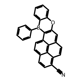 N#Cc1ccc2ccc3c4c(cc5ccc1c2c53)Oc1ccccc1B4c1ccccc1